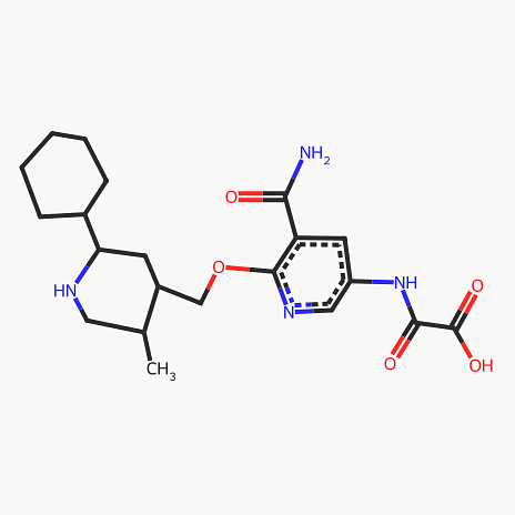 CC1CNC(C2CCCCC2)CC1COc1ncc(NC(=O)C(=O)O)cc1C(N)=O